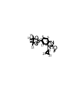 COc1nc2ccc(B3OC(C)(C)C(C)(C)O3)cc2n1C1CC1